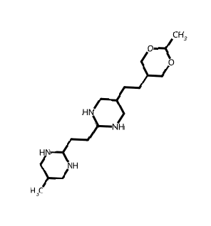 CC1CNC(CCC2NCC(CCC3COC(C)OC3)CN2)NC1